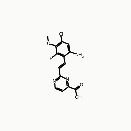 COc1c(Cl)cc(N)c(C=Cc2nccc(C(=O)O)n2)c1F